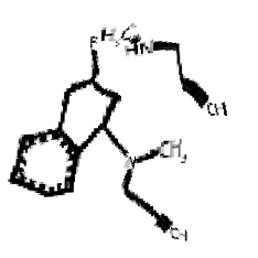 C#CCN(C)C1CC(F)Cc2ccccc21.C#CCNC